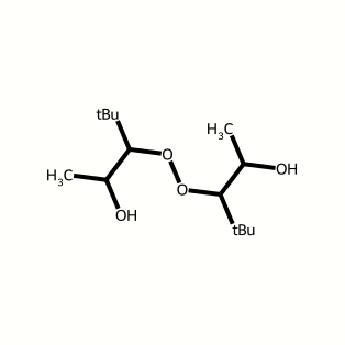 CC(O)C(OOC(C(C)O)C(C)(C)C)C(C)(C)C